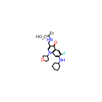 CCC(NCc1cn(C2CCOC2)c2cc(NC3CCCCC3)c(F)cc2c1=O)C(=O)O